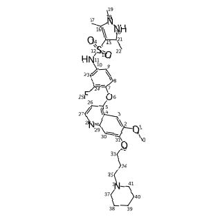 COc1cc2c(Oc3ccc(NS(=O)(=O)C4=C(C)N(C)NC4C)cc3F)ccnc2cc1OCCCN1CCCCC1